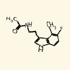 CC(=O)NCCc1c[nH]c2ccc(F)c(C)c12